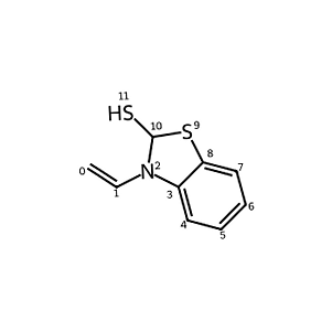 C=CN1c2ccccc2SC1S